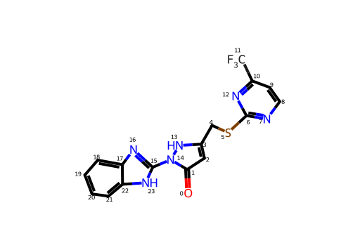 O=c1cc(CSc2nccc(C(F)(F)F)n2)[nH]n1-c1nc2ccccc2[nH]1